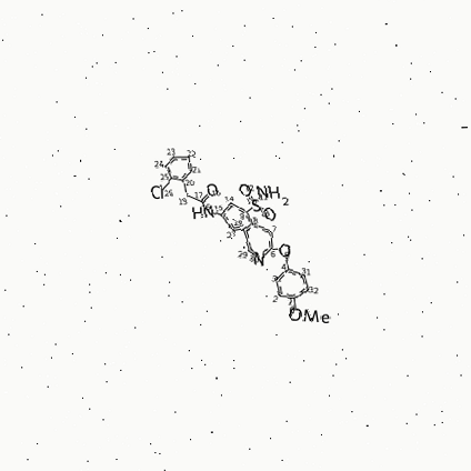 COc1ccc(Oc2cc3c(S(N)(=O)=O)cc(NC(=O)Cc4ccccc4Cl)cc3cn2)cc1